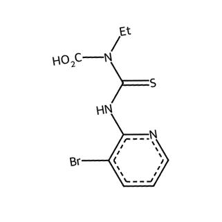 CCN(C(=O)O)C(=S)Nc1ncccc1Br